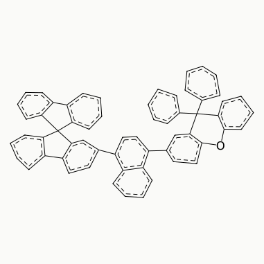 c1ccc(C2(c3ccccc3)c3ccccc3Oc3ccc(-c4ccc(-c5ccc6c(c5)C5(c7ccccc7-c7ccccc75)c5ccccc5-6)c5ccccc45)cc32)cc1